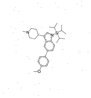 COc1ccc(-c2ccc3c(c2)c(C2CCN(C)CC2)cn3[Si](C(C)C)(C(C)C)C(C)C)cc1